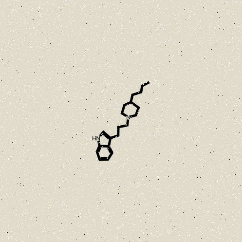 CCCCC1CCN(CCCc2c[nH]c3ccccc23)CC1